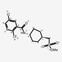 COS(=O)(=O)C[C@H]1CC[C@H](NC(=O)c2cc(Cl)cnc2C(F)(F)F)CC1